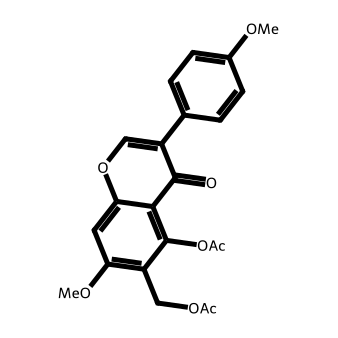 COc1ccc(-c2coc3cc(OC)c(COC(C)=O)c(OC(C)=O)c3c2=O)cc1